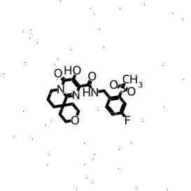 CS(=O)(=O)c1cc(F)ccc1CNC(=O)c1nc2n(c(=O)c1O)CCCC21CCOCC1